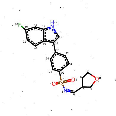 O=S(=O)(/N=C\C1CCOC1)c1ccc(-c2c[nH]c3cc(F)ccc23)cc1